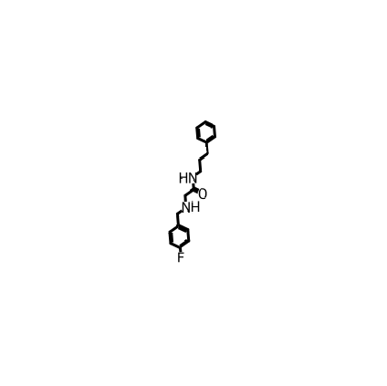 O=C(CNCc1ccc(F)cc1)NCCCc1ccccc1